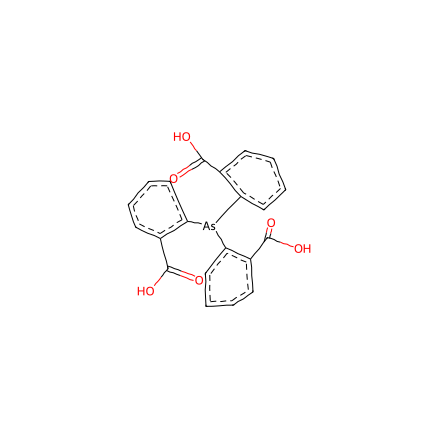 O=C(O)c1ccccc1[As](c1ccccc1C(=O)O)c1ccccc1C(=O)O